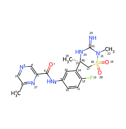 Cc1cncc(C(=O)Nc2ccc(F)c([C@]3(C)CS(=O)(=O)N(C)C(=N)N3)c2)n1